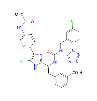 COC(=O)Nc1ccc(-c2nc([C@H](Cc3cccc(C(=O)O)c3)NC(=O)NCc3cc(Cl)ccc3-n3cnnn3)[nH]c2Cl)cc1